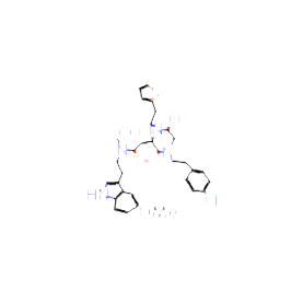 CCOC(=O)CN(CCc1c[nH]c2ccc(OC)cc12)C(=O)CC1C(=O)N(CCc2ccc(Cl)cc2)CC(=O)N1CCc1cccs1